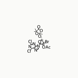 CC(=O)O[C@@H]1[C@@H](Br)[C@@H](COC2(C)OC(=O)C(C)(C)O2)O[C@H]1n1cnc2c(Cl)nc(Cl)nc21